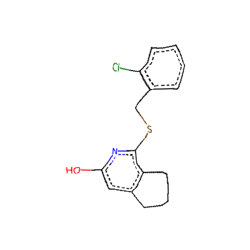 Oc1cc2c(c(SCc3ccccc3Cl)n1)CCC2